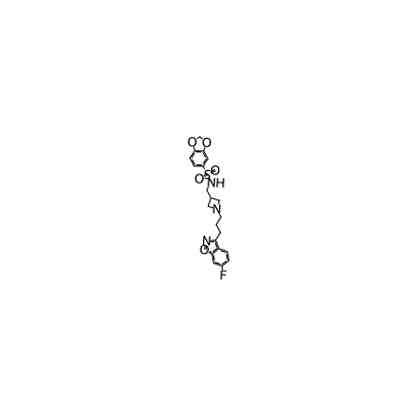 O=S(=O)(NCC1CN(CCCc2noc3cc(F)ccc23)C1)c1ccc2c(c1)OCO2